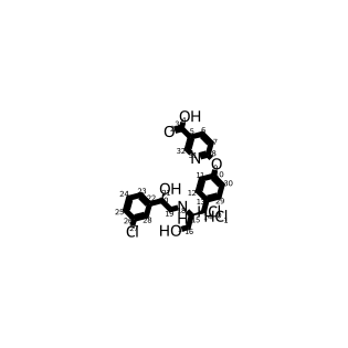 Cl.Cl.O=C(O)c1ccc(Oc2ccc(C[C@@H](CO)NC[C@@H](O)c3cccc(Cl)c3)cc2)nc1